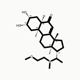 COCCN(C)C(C)[C@H]1CC[C@@]2(C)C3=CC(=O)[C@@H]4C[C@@H](O)[C@@H](O)C[C@]4(C)C3CC[C@]12C